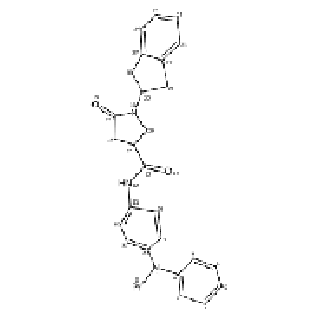 CC(C)N(c1ccccc1)c1ccc(NC(=O)C2CC(=O)N(C3Cc4ccccc4C3)C2)cc1